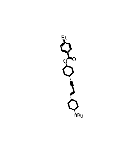 CCCC[C@H]1CC[C@H](C=CC#C[C@H]2CC[C@H](OC(=O)c3ccc(CC)cc3)CC2)CC1